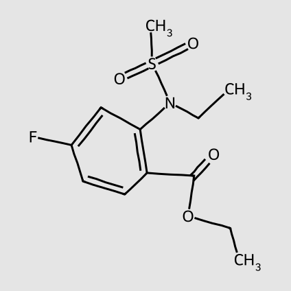 CCOC(=O)c1ccc(F)cc1N(CC)S(C)(=O)=O